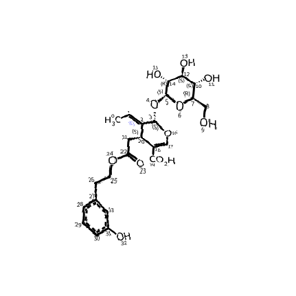 C/C=C1/[C@H](O[C@@H]2O[C@H](CO)[C@@H](O)[C@H](O)[C@H]2O)OC=C(C(=O)O)[C@H]1CC(=O)OCCc1cccc(O)c1